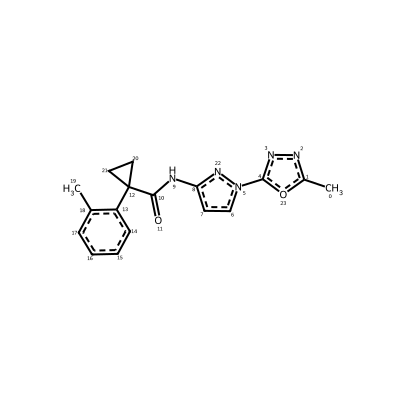 Cc1nnc(-n2ccc(NC(=O)C3(c4ccccc4C)CC3)n2)o1